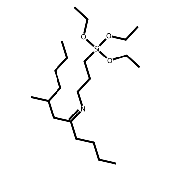 CCCCC(CC(C)CCCC)=NCCC[Si](OCC)(OCC)OCC